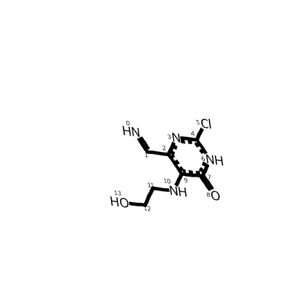 N=Cc1nc(Cl)[nH]c(=O)c1NCCO